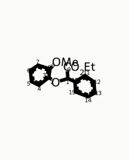 CCOC(=O)C(Oc1ccccc1OC)c1ccccc1